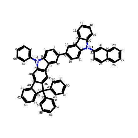 c1ccc(-n2c3ccc(-c4ccc5c(c4)c4ccccc4n5-c4ccc5ccccc5c4)cc3c3cc4c(cc32)-c2ccccc2C4(c2ccccc2)c2ccccc2)cc1